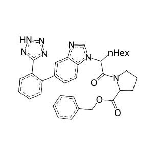 CCCCCCC(C(=O)N1CCCC1C(=O)OCc1ccccc1)n1cnc2cc(-c3ccccc3-c3nn[nH]n3)ccc21